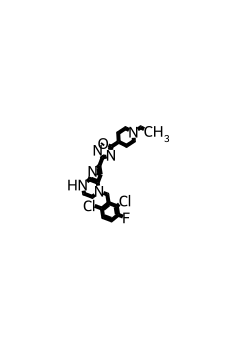 CCN1CCC(c2nc(-c3c4c5c(n3-4)NCCN5Cc3c(Cl)ccc(F)c3Cl)no2)CC1